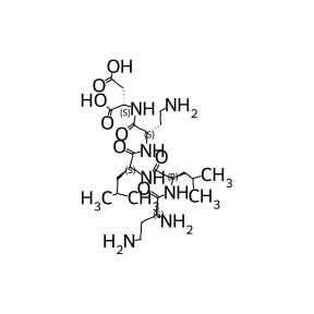 CC(C)C[C@H](NC(=O)[C@@H](CC(C)C)NC(=O)[C@@H](N)CCN)C(=O)N[C@@H](CCN)C(=O)N[C@@H](CC(=O)O)C(=O)O